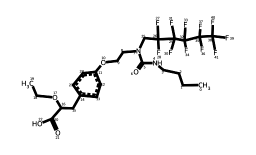 CCCCNC(=O)N(CCOc1ccc(CC(OCC)C(=O)O)cc1)CC(F)(F)C(F)(F)C(F)(F)C(F)(F)C(F)(F)F